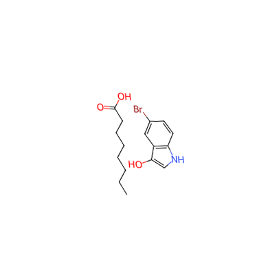 CCCCCCCC(=O)O.Oc1c[nH]c2ccc(Br)cc12